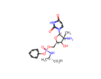 CCOC(=O)[C@H](C)NP(=O)(OC[C@H]1O[C@@H](n2ccc(=O)[nH]c2=O)[C@](C)(N)C1O)Oc1ccccc1